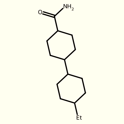 CCC1CCC(C2CCC(C(N)=O)CC2)CC1